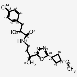 C=C(CCNC(=O)C(O)Cc1ccc(Cl)cc1)c1nnc([C@H]2C[C@@H](OC(F)(F)F)C2)o1